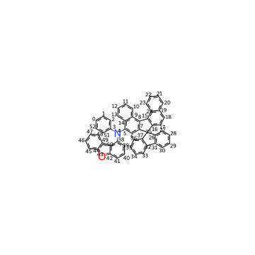 c1ccc(N(c2cc3c(c4ccccc24)-c2c(ccc4ccccc24)C32c3ccccc3-c3ccccc32)c2cccc3oc4ccccc4c23)cc1